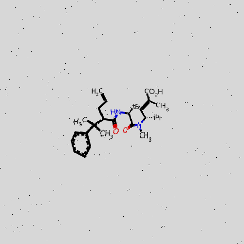 C=CCC(C(=O)N[C@H](C(=O)N(C)[C@H](/C=C(\C)C(=O)O)C(C)C)C(C)(C)C)C(C)(C)c1ccccc1